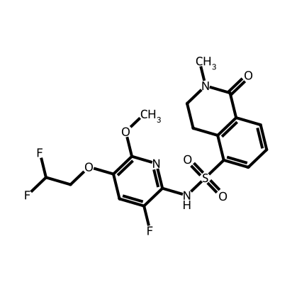 COc1nc(NS(=O)(=O)c2cccc3c2CCN(C)C3=O)c(F)cc1OCC(F)F